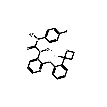 CN(C(=O)N(C)c1cccnc1Oc1ccccc1C1(C(F)(F)F)CCO1)c1ccc(F)cc1